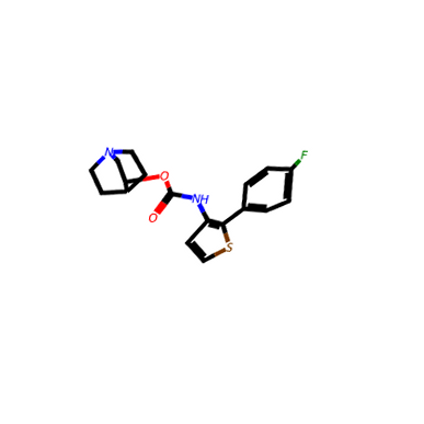 O=C(Nc1ccsc1-c1ccc(F)cc1)OC1CN2CCC1CC2